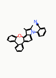 Cc1c(C)n(-c2ccccc2C#N)c2ccc3c(c12)Oc1ccccc1-c1ccccc1-3